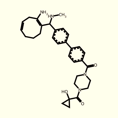 CNC(/C1=C(\N)C/C=C\CCC1)c1ccc(-c2ccc(C(=O)N3CCN(C(=O)C4(O)CC4)CC3)cc2)cc1